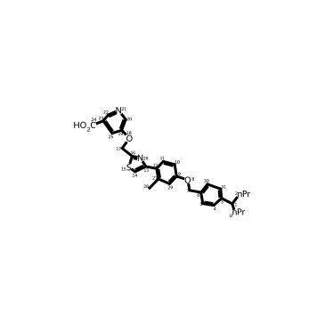 CCCC(CCC)c1ccc(COc2ccc(-c3csc(COc4cncc(C(=O)O)c4)n3)c(C)c2)cc1